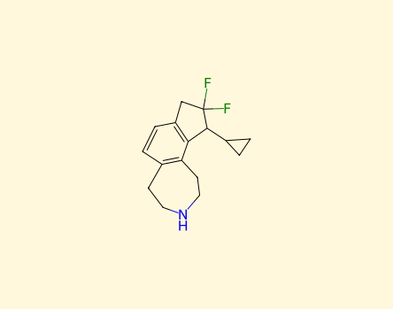 FC1(F)Cc2ccc3c(c2C1C1CC1)CCNCC3